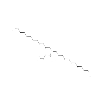 CCCCCCCCCCCCN(CCCCCCCCCCCC)C(C)CCN